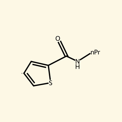 CCCNC(=O)c1c[c]cs1